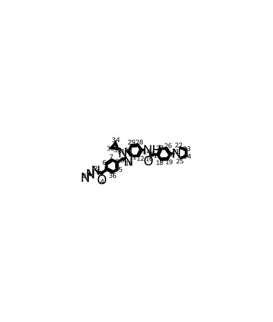 [N-]=[N+]=NC(=O)c1ccc(-c2nc3cc(NC(=O)c4ccc(N5CCCC5)cc4)ccc3n2C2CC2)cc1